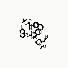 CC(=O)N1CCN(c2nc(OC[C@@]34CCCN3C[C@H](F)C4)nc3c2CO[C@@]2(CCCc4ccc(NC(=O)OC(C)(C)C)cc42)C3)C[C@@H]1CC#N